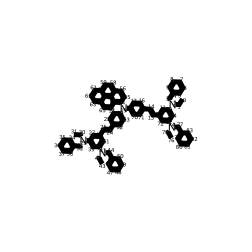 CCN(Cc1ccccc1)c1cc(C=Cc2ccc(N(c3ccc(C=Cc4cc(N(CC)Cc5ccccc5)cc(N(CC)Cc5ccccc5)c4)cc3)c3ccc4ccc5cccc6ccc3c4c56)cc2)cc(N(CC)Cc2ccccc2)c1